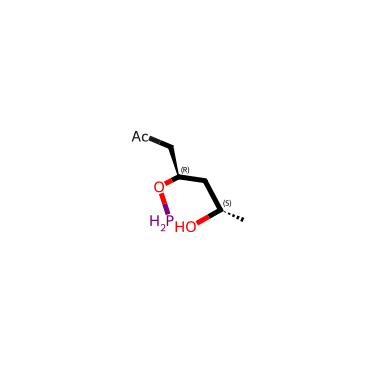 CC(=O)C[C@@H](C[C@H](C)O)OP